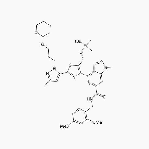 COc1ccc(CNC(=O)c2cc3c(cnn3C)c(-c3nc(-c4cc(C)nn4CCCOC4CCCCO4)sc3CO[Si](C)(C)C(C)(C)C)n2)c(OC)c1